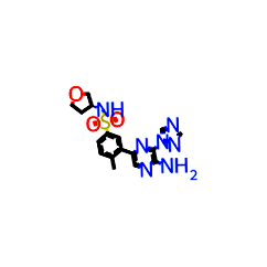 Cc1ccc(S(=O)(=O)N[C@H]2CCOC2)cc1-c1cnc(N)c(-n2cncn2)n1